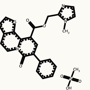 CS(=O)(=O)O.Cn1ccnc1COC(=O)c1cc(-c2ccccc2)c(=O)n2ccc3ccsc3c12